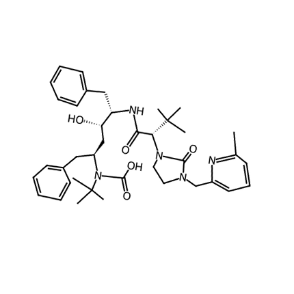 Cc1cccc(CN2CCN([C@H](C(=O)N[C@@H](Cc3ccccc3)[C@@H](O)C[C@H](Cc3ccccc3)N(C(=O)O)C(C)(C)C)C(C)(C)C)C2=O)n1